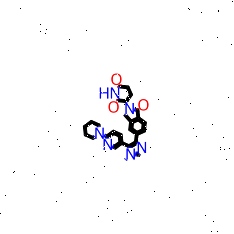 Cn1cnc(-c2ccc3c(c2)CN(C2CCC(=O)NC2=O)C3=O)c1-c1ccc(N2CCCCC2)nc1